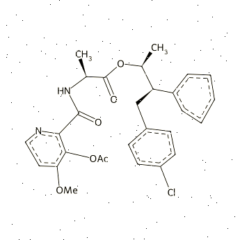 COc1ccnc(C(=O)N[C@@H](C)C(=O)O[C@@H](C)[C@H](Cc2ccc(Cl)cc2)c2ccccc2)c1OC(C)=O